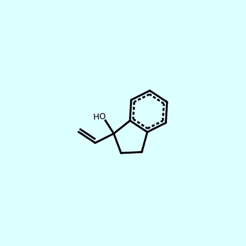 C=CC1(O)CCc2ccccc21